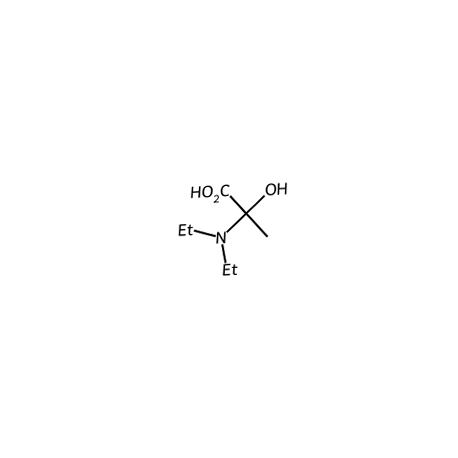 CCN(CC)C(C)(O)C(=O)O